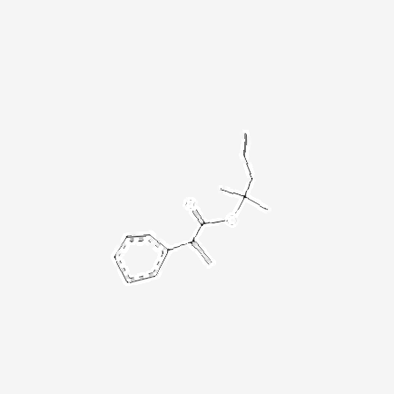 C=C(C(=O)OC(C)(C)CCC)c1ccccc1